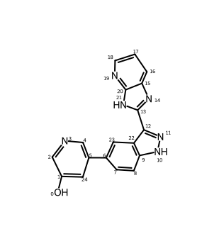 Oc1cncc(-c2ccc3[nH]nc(-c4nc5cccnc5[nH]4)c3c2)c1